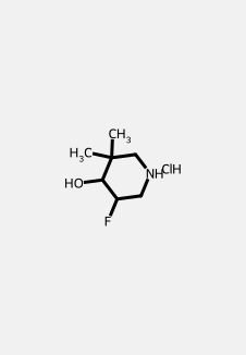 CC1(C)CNCC(F)C1O.Cl